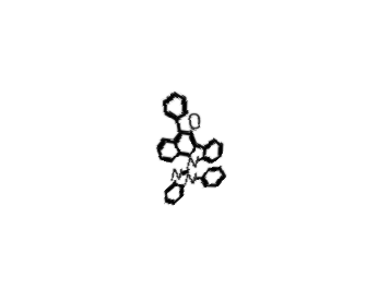 c1ccc(-n2c(-n3c4ccccc4c4c5oc6ccccc6c5c5ccccc5c43)nc3ccccc32)cc1